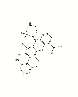 Cc1ccnc(C(C)C)c1Oc1c(F)c(-c2c(O)cccc2F)c(Cl)c2c1CN1CCNC[C@H]1CO2